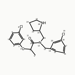 CC(Oc1cccc(Cl)c1)C(=O)N(Cc1cccc(Cl)c1)CC1CCCN1